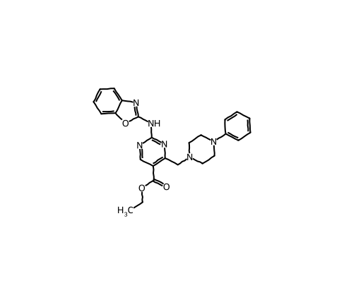 CCOC(=O)c1cnc(Nc2nc3ccccc3o2)nc1CN1CCN(c2ccccc2)CC1